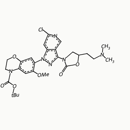 COc1cc2c(cc1-n1nc(N3CC(CCN(C)C)OC3=O)c3cnc(Cl)cc31)OCCN2C(=O)OC(C)(C)C